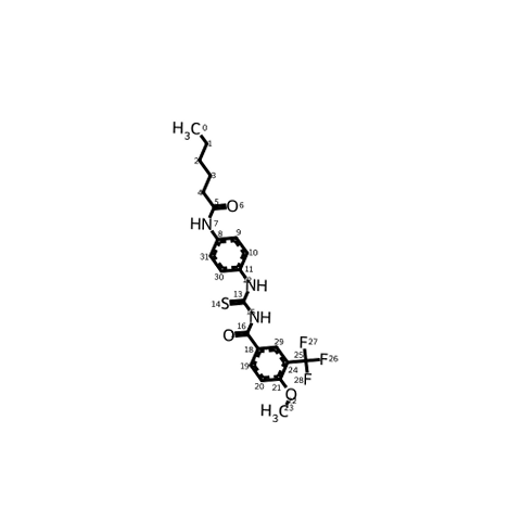 CCCCCC(=O)Nc1ccc(NC(=S)NC(=O)c2ccc(OC)c(C(F)(F)F)c2)cc1